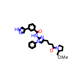 COCC1CCCN1C(=O)CCCc1cn(-c2ccccc2)c(NC(=O)c2cccc(-c3cn[nH]c3)c2)n1